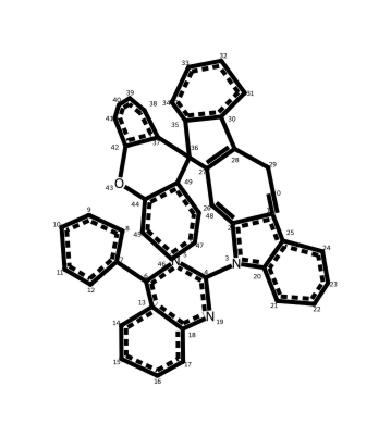 C1=c2c(n(-c3nc(-c4ccccc4)c4ccccc4n3)c3ccccc23)=CC2=C(C1)c1ccccc1C21c2ccccc2Oc2ccccc21